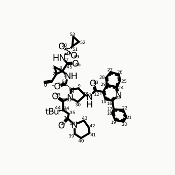 C=CC1CC1(NC(=O)[C@@H]1C[C@@H](NC(=O)c2cc(-c3ccccc3)nc3ccccc23)CN1C(=O)[C@@H](CC(=O)N1CCCCC1)C(C)(C)C)C(=O)NS(=O)(=O)C1CC1